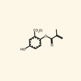 C=C(C)C(=O)Oc1ccc(O)cc1C(=O)OCC